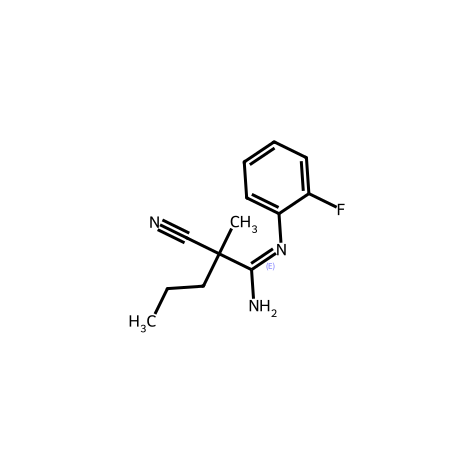 CCCC(C)(C#N)/C(N)=N\c1ccccc1F